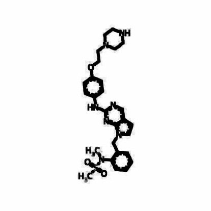 CN(c1ccccc1Cn1ccc2cnc(Nc3ccc(OCCN4CCNCC4)cc3)nc21)S(C)(=O)=O